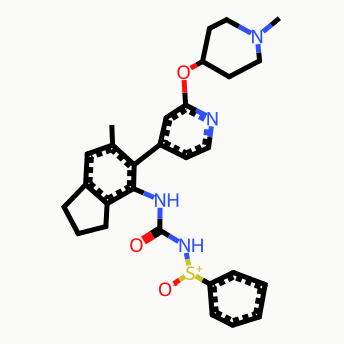 Cc1cc2c(c(NC(=O)N[S+]([O-])c3ccccc3)c1-c1ccnc(OC3CCN(C)CC3)c1)CCC2